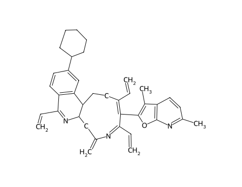 C=CC1=NC2CC(=C)/N=C(C=C)\C(c3oc4nc(C)ccc4c3C)=C(\C=C)CCC2c2cc(C3CCCCC3)ccc21